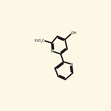 CCOC(=O)c1cc(O)cc(-c2ccccn2)n1